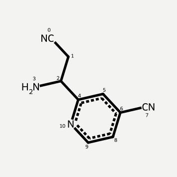 N#CCC(N)c1cc(C#N)ccn1